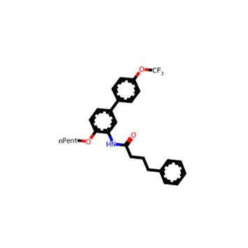 CCCCCOc1ccc(-c2ccc(OC(F)(F)F)cc2)cc1NC(=O)CCCc1ccccc1